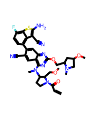 C=CC(=O)N1CCC(N(C)c2nc(OCC3CC(OC)CN3C)nc3cc(-c4ccc(F)c5sc(N)c(C#N)c45)c(C#N)cc23)C1COC